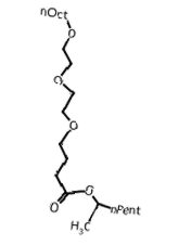 CCCCCCCCOCCOCCOCCCC(=O)OC(C)CCCCC